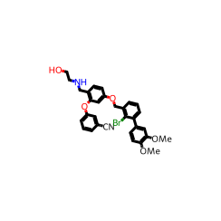 COc1ccc(-c2cccc(COc3ccc(CNCCO)c(Oc4cccc(C#N)c4)c3)c2Br)cc1OC